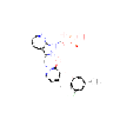 Cc1ccn(Cc2nn(COP(=O)(O)O)c3ncccc23)c(=O)c1Oc1cc(Cl)cc(C#N)c1